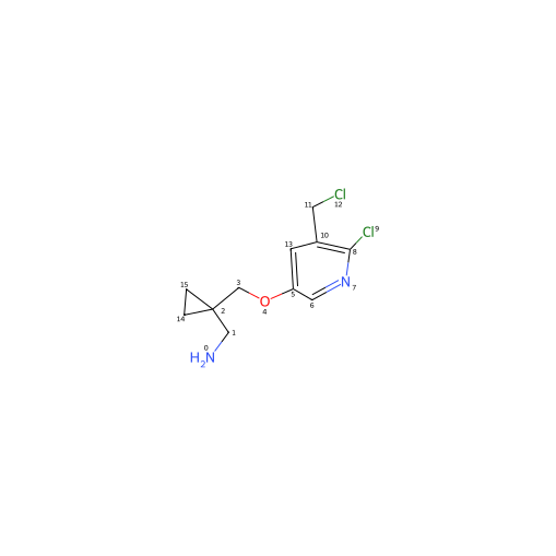 NCC1(COc2cnc(Cl)c(CCl)c2)CC1